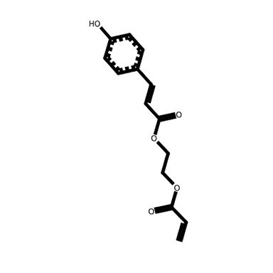 C=CC(=O)OCCOC(=O)C=Cc1ccc(O)cc1